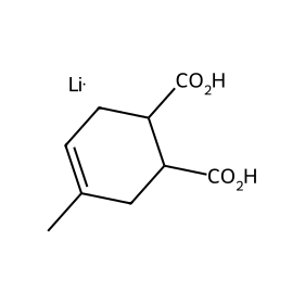 CC1=CCC(C(=O)O)C(C(=O)O)C1.[Li]